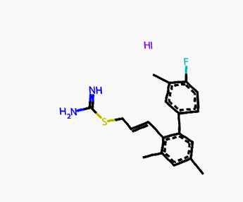 Cc1cc(C)c(C=CCSC(=N)N)c(-c2ccc(F)c(C)c2)c1.I